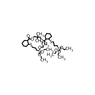 CCO[Si](CCCSC1CCCCC1C(=O)OCC(C)(C)COC(=O)C1CCCCC1SCCC[Si](OCC)(OCC)OCC)(OCC)OCC